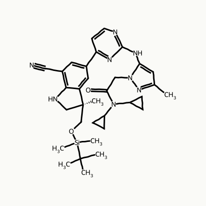 Cc1cc(Nc2nccc(-c3cc(C#N)c4c(c3)[C@@](C)(CO[Si](C)(C)C(C)(C)C)CN4)n2)n(CC(=O)N(C2CC2)C2CC2)n1